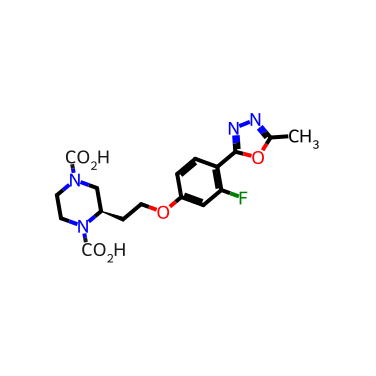 Cc1nnc(-c2ccc(OCC[C@@H]3CN(C(=O)O)CCN3C(=O)O)cc2F)o1